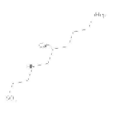 CCCCCCCCCCCCNCCS(=O)(=O)O.[CaH2]